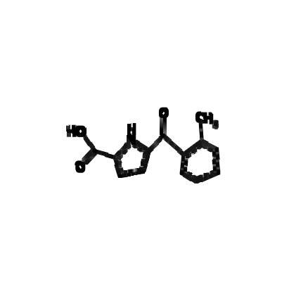 Cc1ccccc1C(=O)c1ccc(C(=O)O)[nH]1